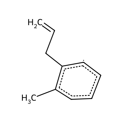 C=CCc1[c]cccc1C